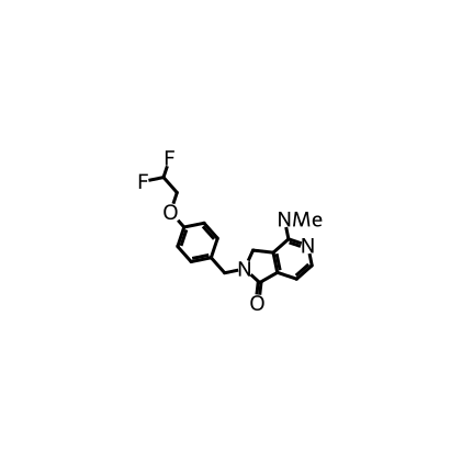 CNc1nccc2c1CN(Cc1ccc(OCC(F)F)cc1)C2=O